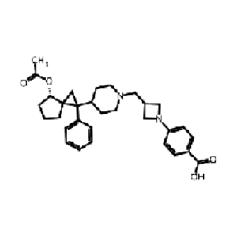 CC(=O)O[C@H]1CCCC12CC2(c1ccccc1)C1CCN(CC2CN(c3ccc(C(=O)O)cc3)C2)CC1